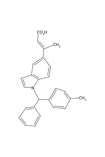 CC(=CC(=O)O)c1ccc2c(ccn2C(c2ccccc2)c2ccc(C)cc2)c1